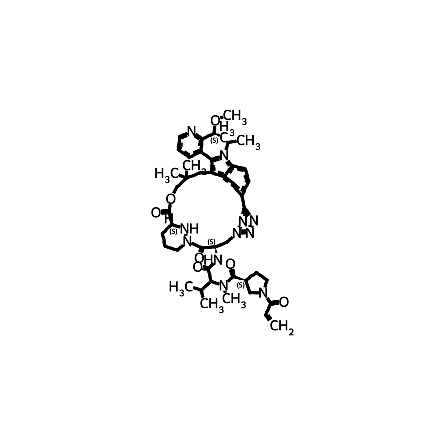 C=CC(=O)N1CC[C@H](C(=O)N(C)C(C(=O)N[C@H]2Cn3nnc(n3)-c3ccc4c(c3)c(c(-c3cccnc3[C@H](C)OC)n4CC)CC(C)(C)COC(=O)[C@@H]3CCCN(N3)C2=O)C(C)C)C1